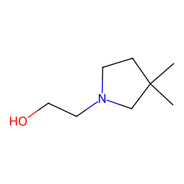 CC1(C)CCN(CCO)C1